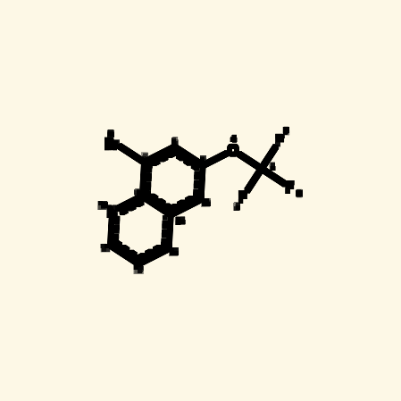 FC(F)(F)Oc1cc(Br)c2ncccc2c1